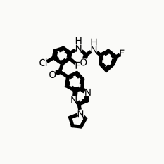 O=C(Nc1cccc(F)c1)Nc1ccc(Cl)c(C(=O)c2ccc3ncc(N4CCCC4)nc3c2)c1F